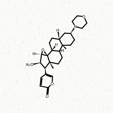 CC(=O)O[C@H]1[C@H]2O[C@]23[C@@H]2CC[C@@H]4C[C@@H](N5CCOCC5)CC[C@]4(C)[C@H]2CC[C@]3(C)[C@H]1c1ccc(=O)oc1